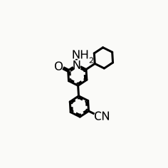 N#Cc1cccc(-c2cc(C3CCCCC3)n(N)c(=O)c2)c1